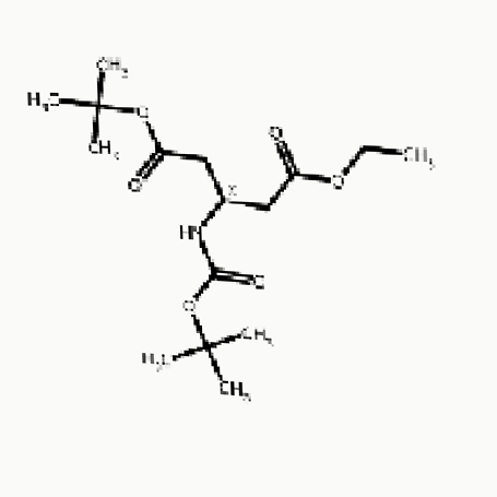 CCOC(=O)C[C@H](CC(=O)OC(C)(C)C)NC(=O)OC(C)(C)C